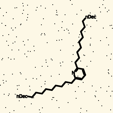 CCCCCCCCCCCCCCCCCCCc1cccc(CCCCCCCCCCCCCCCCCCC)n1